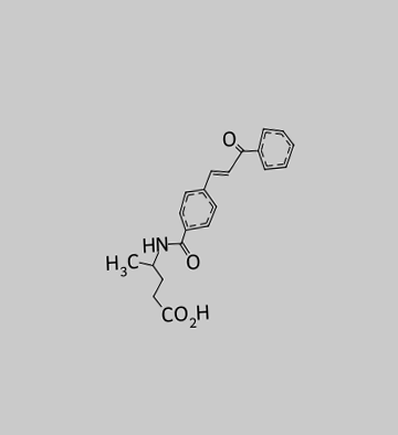 CC(CCC(=O)O)NC(=O)c1ccc(/C=C/C(=O)c2ccccc2)cc1